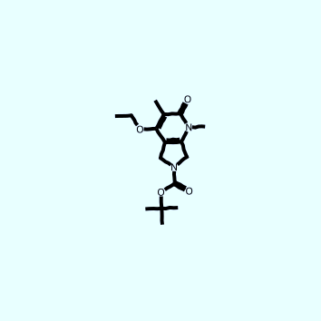 CCOc1c2c(n(C)c(=O)c1C)CN(C(=O)OC(C)(C)C)C2